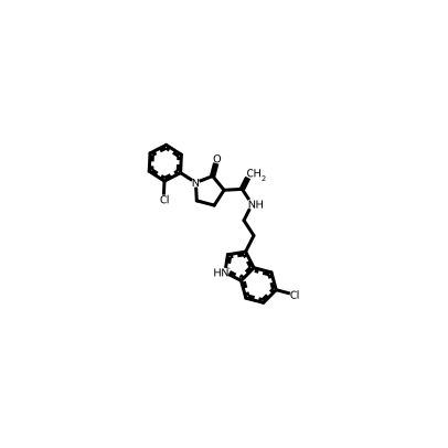 C=C(NCCc1c[nH]c2ccc(Cl)cc12)C1CCN(c2ccccc2Cl)C1=O